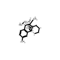 Cc1ccc2c(c1)[C@]13CCCC[C@@H]1[C@H](C2)N(C)CC3.O=S(=O)(O)O